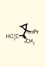 C=C(C(=O)O)C1(CCC)CC1